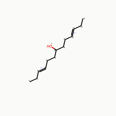 CC/C=C/CCC(O)CC/C=C/CC